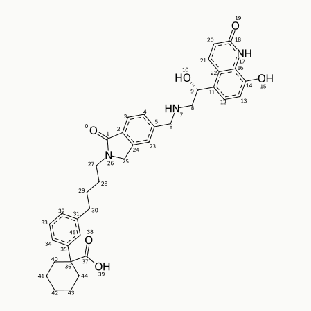 O=C1c2ccc(CNC[C@H](O)c3ccc(O)c4[nH]c(=O)ccc34)cc2CN1CCCCc1cccc(C2(C(=O)O)CCCCC2)c1